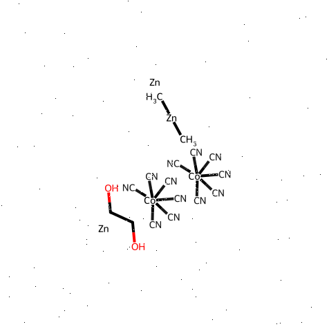 N#[C][Co]([C]#N)([C]#N)([C]#N)([C]#N)[C]#N.N#[C][Co]([C]#N)([C]#N)([C]#N)([C]#N)[C]#N.OCCO.[CH3][Zn][CH3].[Zn].[Zn]